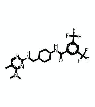 Cc1cnc(NCC2CCC(NC(=O)c3cc(C(F)(F)F)cc(C(F)(F)F)c3)CC2)nc1N(C)C